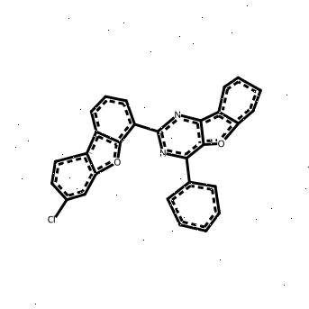 Clc1ccc2c(c1)oc1c(-c3nc(-c4ccccc4)c4oc5ccccc5c4n3)cccc12